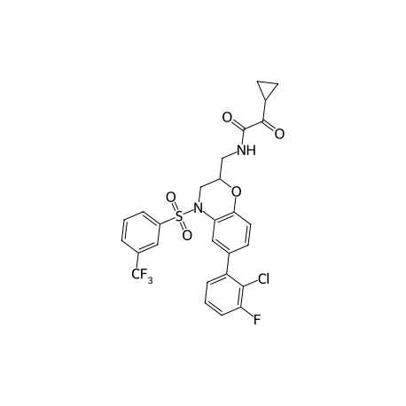 O=C(NCC1CN(S(=O)(=O)c2cccc(C(F)(F)F)c2)c2cc(-c3cccc(F)c3Cl)ccc2O1)C(=O)C1CC1